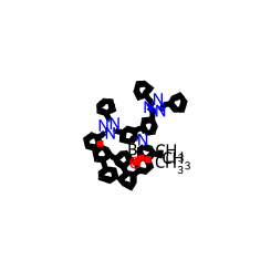 CC(C)(C)c1cc2c3c(c1)-n1c4ccc(-c5nc(-c6ccccc6)nc(-c6ccccc6)n5)cc4c4cc(-c5nc(-c6ccccc6)nc(-c6ccccc6)n5)cc(c41)B3c1cc(-c3ccccc3-c3ccccc3)cc(-c3ccccc3-c3ccccc3)c1O2